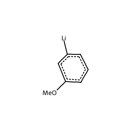 [Li][c]1cccc(OC)c1